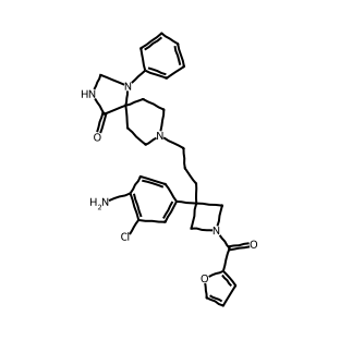 Nc1ccc(C2(CCCN3CCC4(CC3)C(=O)NCN4c3ccccc3)CN(C(=O)c3ccco3)C2)cc1Cl